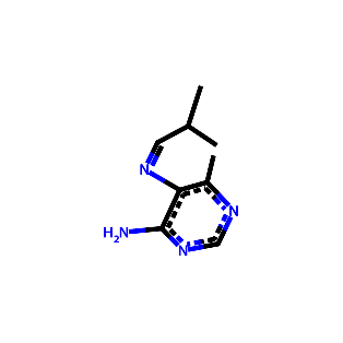 Cc1ncnc(N)c1/N=C\C(C)C